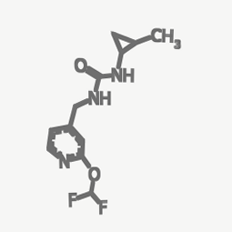 CC1CC1NC(=O)NCc1ccnc(OC(F)F)c1